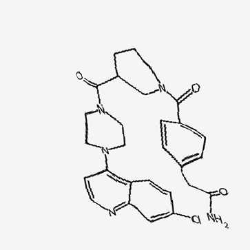 NC(=O)Cc1ccc(C(=O)N2CCCC(C(=O)N3CCN(c4ccnc5cc(Cl)ccc45)CC3)C2)cc1